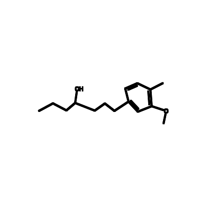 CCCC(O)CCCc1ccc(C)c(OC)c1